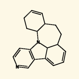 C1=CC2CCC3C=CCCC3N3c4ccncc4C(=C1)C23